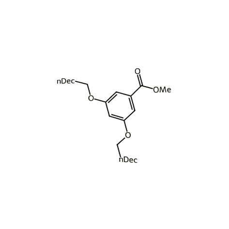 CCCCCCCCCCCOc1cc(OCCCCCCCCCCC)cc(C(=O)OC)c1